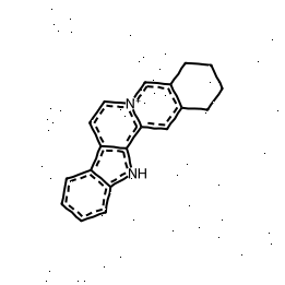 c1ccc2c(c1)[nH]c1c2cc[n+]2cc3c(cc12)CCCC3